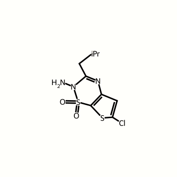 CC(C)CC1=Nc2cc(Cl)sc2S(=O)(=O)N1N